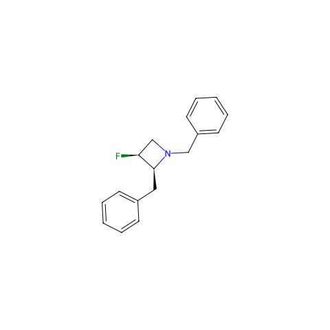 F[C@H]1CN(Cc2ccccc2)[C@H]1Cc1ccccc1